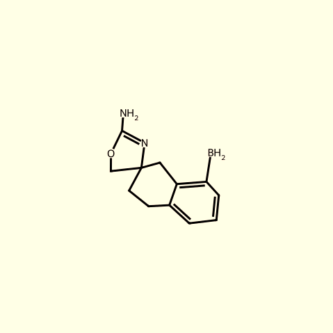 Bc1cccc2c1CC1(CC2)COC(N)=N1